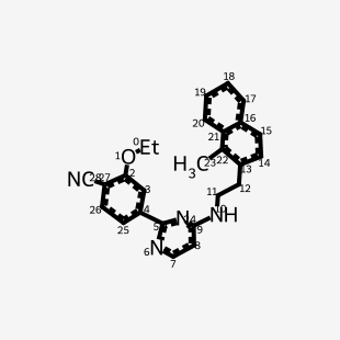 CCOc1cc(-c2nccc(NCCc3ccc4ccccc4c3C)n2)ccc1C#N